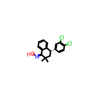 CC1(C)C[C@@H](c2ccc(Cl)c(Cl)c2)c2ccccc2/C1=N\O